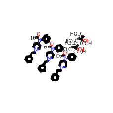 CCC(=O)N(c1ccccc1)C1CCN(CCc2ccccc2)CC1.CCC(=O)N(c1ccccc1)C1CCN(CCc2ccccc2)CC1.CCC(=O)N(c1ccccc1)C1CCN(CCc2ccccc2)CC1.O=C(O)CC(O)(CC(=O)O)C(=O)O.O=C(O)CC(O)(CC(=O)O)C(=O)O